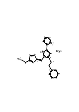 CCCCCCCCCCCC1=NC(=Cc2[nH]c(-c3ccc[nH]3)cc2OCc2ccccc2)C=C1.Cl